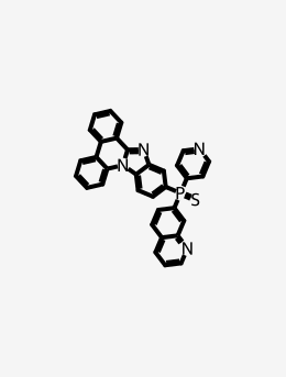 S=P(c1ccncc1)(c1ccc2cccnc2c1)c1ccc2c(c1)nc1c3ccccc3c3ccccc3n21